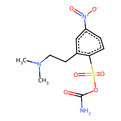 CN(C)CCc1cc([N+](=O)[O-])ccc1S(=O)(=O)OC(N)=O